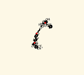 CC(C)(C)[C@H](NC(=O)COCCCCOc1ccc(-c2ncc(N3C(=S)N(c4ccc(C#N)c(C(F)(F)F)c4F)C(=O)C3(C)C)cc2F)cc1F)C(=O)N1C[C@H](O)C[C@H]1C(=O)NCc1ccccc1